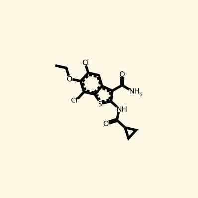 CCOc1c(Cl)cc2c(C(N)=O)c(NC(=O)C3CC3)sc2c1Cl